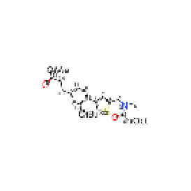 CCCCCCCCC(=O)N(C)Cc1cc(-c2ccc(CCC(=O)OC)cc2OCC(C)C)cs1